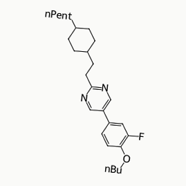 CCCCCC1CCC(CCc2ncc(-c3ccc(OCCCC)c(F)c3)cn2)CC1